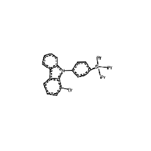 CC(C)[Si](c1ccc(-n2c3ccccc3c3cccc(Br)c32)cc1)(C(C)C)C(C)C